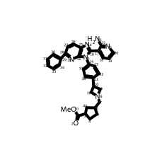 COC(=O)C1CCC(CN2CC(c3ccc(-n4c(-c5cccnc5N)nc5ccc(-c6ccccc6)nc54)cc3)C2)C1